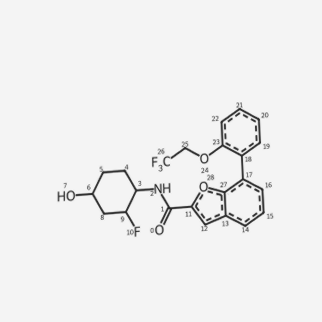 O=C(NC1CCC(O)CC1F)c1cc2cccc(-c3ccccc3OCC(F)(F)F)c2o1